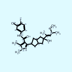 C=NN(C)/C=C(\C)C1(O)CC2CC(c3nn(C)c(N)c3C(=O)Nc3ccc(F)c(Cl)c3)CC2C1